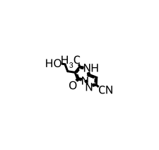 Cc1[nH]c2cc(C#N)nn2c(=O)c1CCO